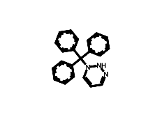 C1=CN(C(c2ccccc2)(c2ccccc2)c2ccccc2)NN=C1